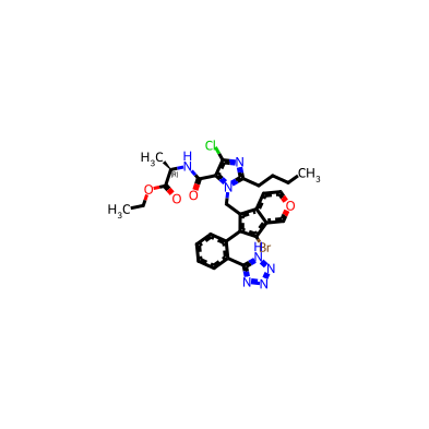 CCCCc1nc(Cl)c(C(=O)N[C@H](C)C(=O)OCC)n1Cc1c2ccocc-2c(Br)c1-c1ccccc1-c1nnn[nH]1